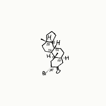 C[C@@]12CCC[C@H]1[C@@H]1CC[C@H]3CC(=O)[C@H](Br)C[C@]3(C)[C@H]1CC2